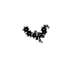 C[C@H](NC(=O)[C@H]1C[C@H](Cc2ccc(-c3ccccc3)cc2)CN1)C(=O)NC1CCc2nc(N)ccc21